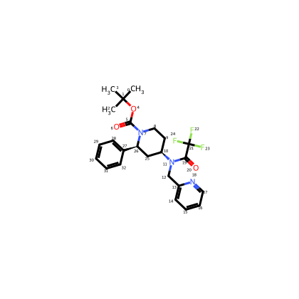 CC(C)(C)OC(=O)N1CC[C@@H](N(Cc2ccccn2)C(=O)C(F)(F)F)C[C@H]1c1ccccc1